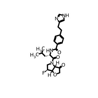 CC(C)C[C@H](NC(=O)c1ccc(CCc2c[nH]cn2)cc1)C(=O)N1C[C@H](F)[C@H]2OCC(=O)[C@H]21